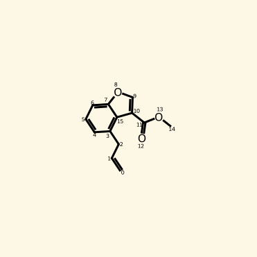 C=CCc1cccc2occ(C(=O)OC)c12